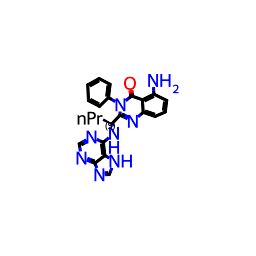 CCC[C@H](Nc1ncnc2nc[nH]c12)c1nc2cccc(N)c2c(=O)n1-c1ccccc1